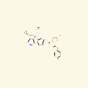 CO[C@@H]1C[C@H](C(=O)Nc2cc(C(CCC3CC3)(N[S@+]([O-])C(C)(C)C)c3ccncc3)ccc2F)N(C(=O)Cc2ccc(Cl)cc2)C1